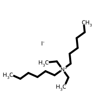 CCCCCC[N+](CC)(CC)CCCCCC.[I-]